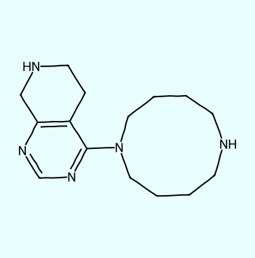 c1nc2c(c(N3CCCCNCCCC3)n1)CCNC2